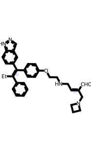 CC/C(=C(/c1ccc(OCCNC/C=C(\C=O)CN2CCC2)cc1)c1ccc2[nH]ncc2c1)c1ccccc1